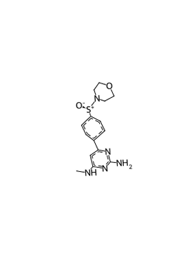 CNc1cc(-c2ccc([S@@+]([O-])N3CCOCC3)cc2)nc(N)n1